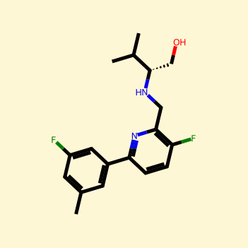 Cc1cc(F)cc(-c2ccc(F)c(CN[C@@H](CO)C(C)C)n2)c1